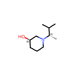 CC(C)[C@H](C)N1CCC[C@@H](O)C1